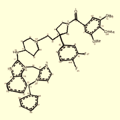 COc1cc(C(=O)N2CCC(CCN3CCC(Nc4nc5ccccc5n4Cc4nccn4Cc4ccccc4)CC3)(c3ccc(F)c(F)c3)C2)cc(OC)c1OC